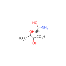 CCCC(N)O.O=C(O)C(O)C(O)C(=O)O